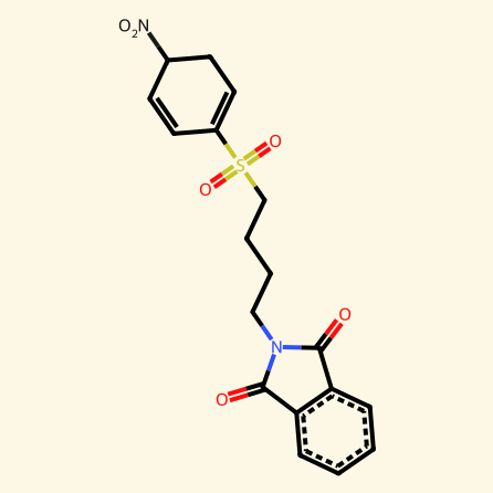 O=C1c2ccccc2C(=O)N1CCCCS(=O)(=O)C1=CC[C]([N+](=O)[O-])C=C1